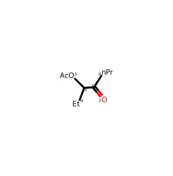 CCCC(=O)C(CC)OC(C)=O